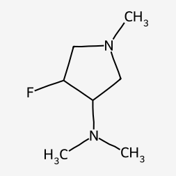 CN1CC(F)C(N(C)C)C1